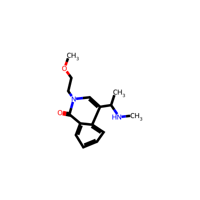 CNC(C)c1cn(CCOC)c(=O)c2ccccc12